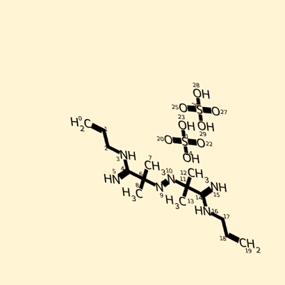 C=CCNC(=N)C(C)(C)N=NC(C)(C)C(=N)NCC=C.O=S(=O)(O)O.O=S(=O)(O)O